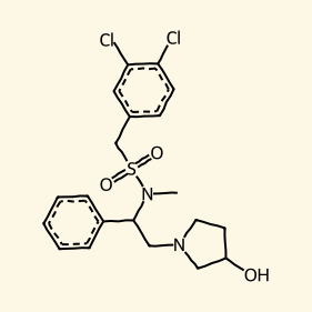 CN(C(CN1CCC(O)C1)c1ccccc1)S(=O)(=O)Cc1ccc(Cl)c(Cl)c1